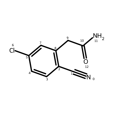 N#Cc1ccc(Cl)cc1CC(N)=O